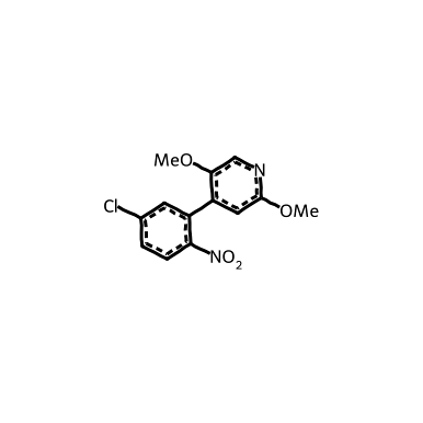 COc1cc(-c2cc(Cl)ccc2[N+](=O)[O-])c(OC)cn1